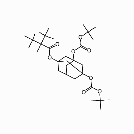 CC(C)(C)OC(=O)OC12CC3CC(OC(=O)OC(C)(C)C)(C1)CC(OC(=O)C(C)(C(C)(C)C)C(C)(C)C)(C3)C2